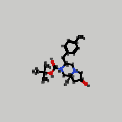 Cc1ccc(C[C@H]2CN3CC(=O)C[C@H]3CN2C(=O)OC(C)(C)C)cc1